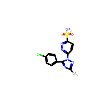 NS(=O)(=O)c1ccc(-n2nc(C(F)(F)F)nc2-c2ccc(Cl)cc2)nn1